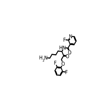 NCCCCC(NC(=O)c1cccnc1F)C(=O)COc1c(F)cccc1F